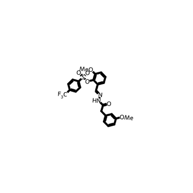 COc1cccc(CC(=O)NN=Cc2cccc(OC)c2OS(=O)(=O)c2ccc(C(F)(F)F)cc2)c1